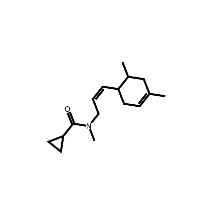 CC1=CCC(/C=C\CN(C)C(=O)C2CC2)C(C)C1